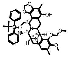 COCOc1c(OC)c(C)cc2c1[C@H]1C3Cc4c(O)c(C)c5c(c4[C@H](CO[Si](c4ccccc4)(c4ccccc4)C(C)(C)C)N3[C@@H](C#N)[C@@H](C2)N1C)OCO5